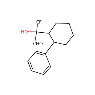 O=CC(O)(C1CCCCC1c1ccccc1)C(F)(F)F